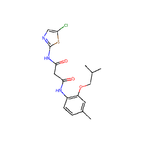 Cc1ccc(NC(=O)CC(=O)Nc2ncc(Cl)s2)c(OCC(C)C)c1